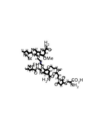 CCn1nc(C)cc1C(=O)Nc1nc2cc(C(N)=O)cc(OCCCN(C)C(=O)CCN3C(=O)CC(SC[C@H](N)C(=O)O)C3=O)c2n1C/C=C/Cn1c2nc(-c3cc(C)nn3CC)ncc2c2nc(C(N)=O)cc(OC)c21